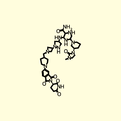 CN1CCN([C@@H]2CCCN(C3CNC(C(N)=O)C(NC4CNN(C5CN(CC6CCN(c7ccc8c(c7)C(=O)N([C@@H]7CCC(=O)NC7=O)C8=O)CC6)C5)C4)N3)C2)C1=O